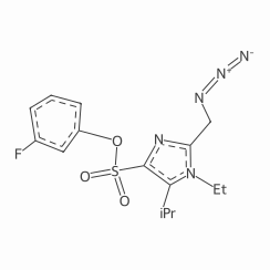 CCn1c(CN=[N+]=[N-])nc(S(=O)(=O)Oc2cccc(F)c2)c1C(C)C